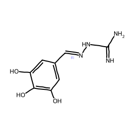 N=C(N)N/N=C/c1cc(O)c(O)c(O)c1